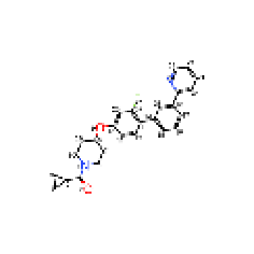 O=C(C1CC1)N1CCC(Oc2ccc(-c3cccc(-c4ccccn4)c3)c(F)c2)CC1